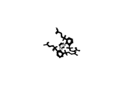 CC(C)CCC(C)(C)c1cccc(C(C)(C)CCC(C)C)c1N1C=CN(c2c(C(C)(C)CCC(C)C)cccc2C(C)(C)CCC(C)C)C1